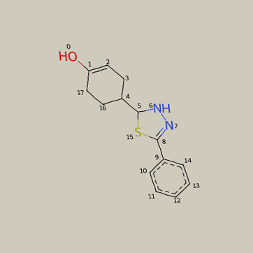 OC1=CCC(C2NN=C(c3ccccc3)S2)CC1